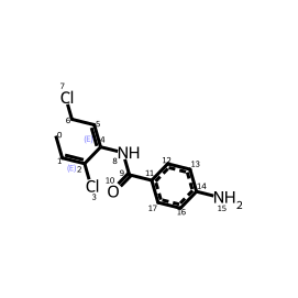 C/C=C(Cl)\C(=C/CCl)NC(=O)c1ccc(N)cc1